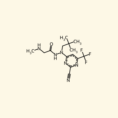 CNCC(=O)NN(CC(C)(C)C)c1cc(C(F)(F)F)nc(C#N)n1